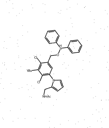 CC(=O)NCc1cccn1-c1cc(CO[SiH](c2ccccc2)c2ccccc2)c(Cl)c(C(C)(C)C)c1Cl